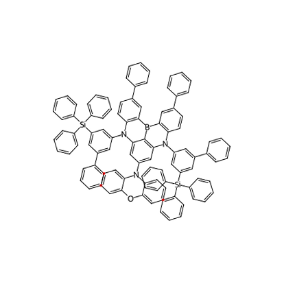 c1ccc(-c2cc(N3c4ccc(-c5ccccc5)cc4B4c5cc(-c6ccccc6)ccc5N(c5cc(-c6ccccc6)cc([Si](c6ccccc6)(c6ccccc6)c6ccccc6)c5)c5cc(N6c7ccccc7Oc7ccccc76)cc3c54)cc([Si](c3ccccc3)(c3ccccc3)c3ccccc3)c2)cc1